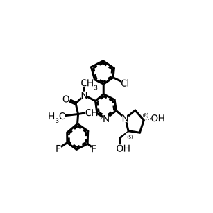 CN(C(=O)C(C)(C)c1cc(F)cc(F)c1)c1cnc(N2C[C@H](O)C[C@H]2CO)cc1-c1ccccc1Cl